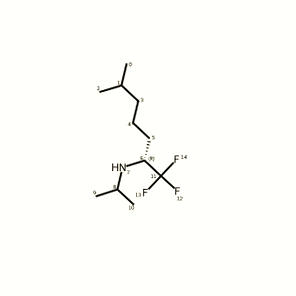 CC(C)CCC[C@@H](NC(C)C)C(F)(F)F